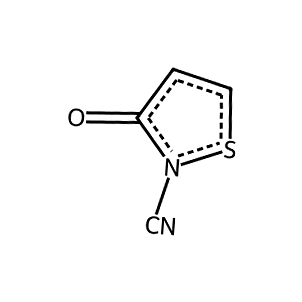 N#Cn1sccc1=O